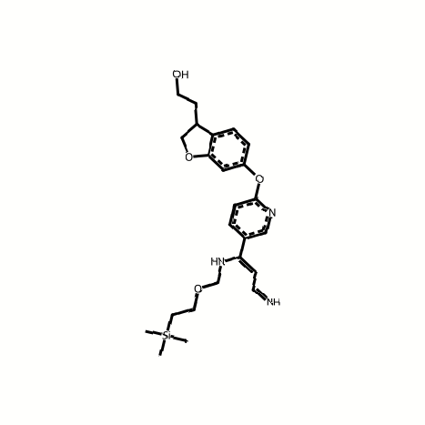 C[Si](C)(C)CCOCN/C(=C\C=N)c1ccc(Oc2ccc3c(c2)OCC3CCO)nc1